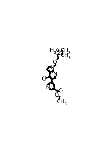 CCOC(=O)c1cncc(-c2cnc3c(ccn3COCC[Si](C)(C)C)c2Cl)c1